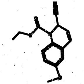 CCSC(=O)N1c2ccc(OC)cc2C=CC1C#N